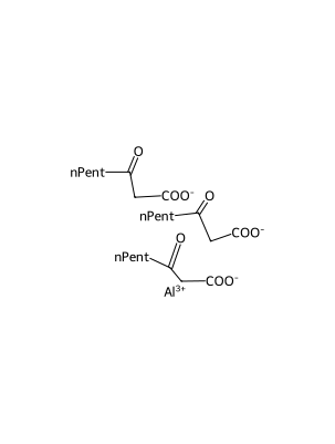 CCCCCC(=O)CC(=O)[O-].CCCCCC(=O)CC(=O)[O-].CCCCCC(=O)CC(=O)[O-].[Al+3]